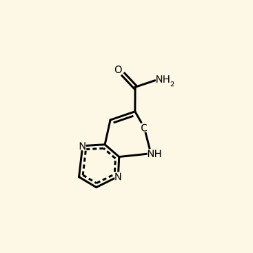 NC(=O)C1=Cc2nccnc2NC1